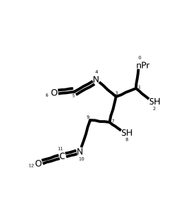 CCCC(S)C(N=C=O)C(S)CN=C=O